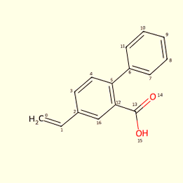 C=Cc1ccc(-c2ccccc2)c(C(=O)O)c1